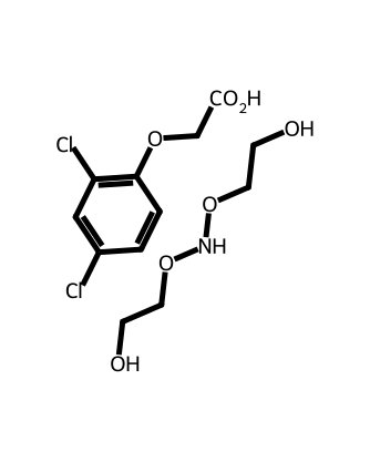 O=C(O)COc1ccc(Cl)cc1Cl.OCCONOCCO